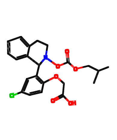 CC(C)COC(=O)ON1CCc2ccccc2C1c1cc(Cl)ccc1OCC(=O)O